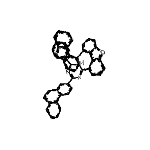 c1ccc(C2N=C(c3ccc4c(ccc5ccccc54)c3)N=C(c3cccc4oc5cccc(-c6cccc7oc8ccccc8c67)c5c34)N2)cc1